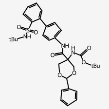 CC(C)(C)NS(=O)(=O)c1ccccc1-c1ccc(NC(=O)C2(NC(=O)OC(C)(C)C)COC(c3ccccc3)OC2)cc1